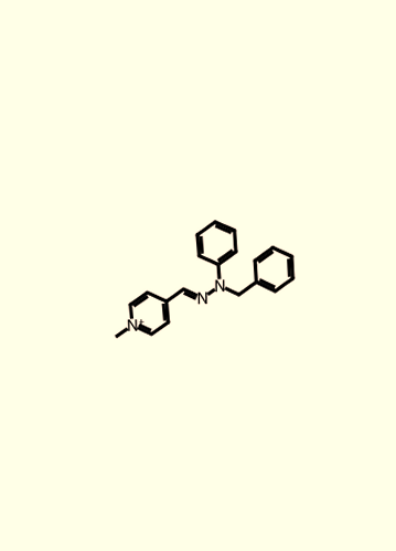 C[n+]1ccc(/C=N/N(Cc2ccccc2)c2ccccc2)cc1